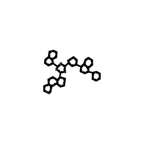 c1ccc(-c2ccc(-c3cccc(-c4nc(-c5cccc6ccccc56)nc(-c5cccc6c5ccc5ccccc56)n4)c3)c3ccccc23)cc1